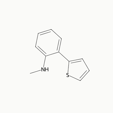 CNc1ccccc1-c1cccs1